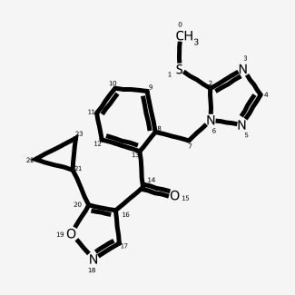 CSc1ncnn1Cc1ccccc1C(=O)c1cnoc1C1CC1